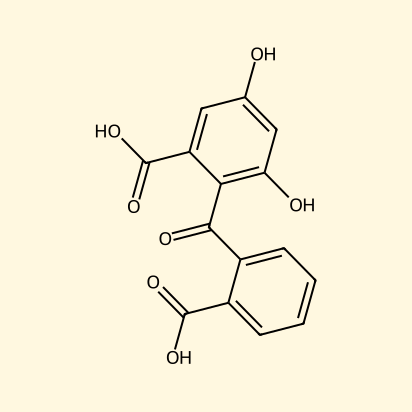 O=C(O)c1ccccc1C(=O)c1c(O)cc(O)cc1C(=O)O